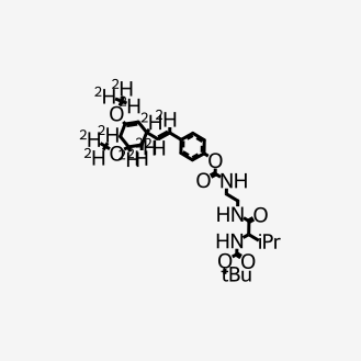 [2H]/C(=C(/[2H])C1([2H])C=C(OC([2H])([2H])[2H])CC([2H])(OC([2H])([2H])[2H])C1([2H])[2H])c1ccc(OC(=O)NCCNC(=O)C(NC(=O)OC(C)(C)C)C(C)C)cc1